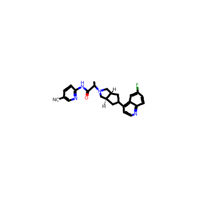 CC(C(=O)Nc1ccc(C#N)cn1)N1C[C@H]2CC(c3ccnc4ccc(F)cc34)C[C@H]2C1